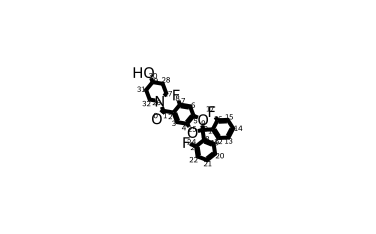 O=C(c1cc2c(cc1F)OC(c1ccccc1F)(c1ccccc1F)O2)N1CCC(O)CC1